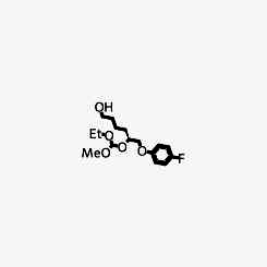 CCOC(OC)O[C@@H](CCCCO)COc1ccc(F)cc1